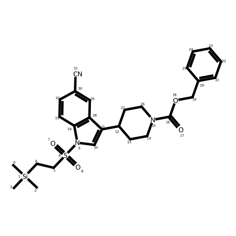 C[Si](C)(C)CCS(=O)(=O)n1cc(C2CCN(C(=O)OCc3ccccc3)CC2)c2cc(C#N)ccc21